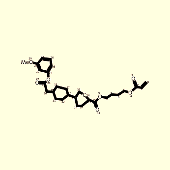 C=CC(=O)OCCCCOC(=O)C1CCC(C2CCC(CC(=O)Oc3cccc(OC)c3)CC2)CC1